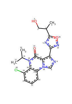 CC(CO)c1nc(-c2ncn3c2c(=O)n(C(C)C)c2c(Cl)cccc23)no1